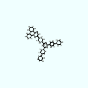 C1=CCC(C2=CCC(c3nc(-c4ccc(C5C=CC=CC5)cc4)nc(C4CCC(C5=CN=C(C6CCCCC6)C(C6C=CCCC6)C5)CC4)n3)C=C2)C=C1